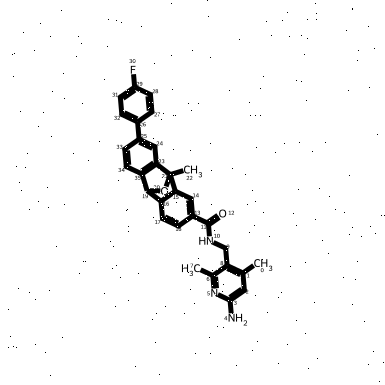 Cc1cc(N)nc(C)c1CNC(=O)C1=CC2C(C=C1)C1OC2(C)c2cc(-c3ccc(F)cc3)ccc21